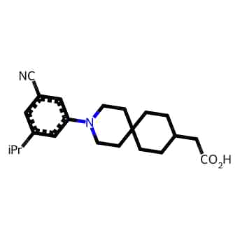 CC(C)c1cc(C#N)cc(N2CCC3(CCC(CC(=O)O)CC3)CC2)c1